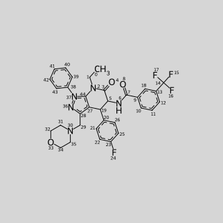 CCN1C(=O)C(NC(=O)c2cccc(C(F)(F)F)c2)C(c2ccc(F)cc2)c2c(CN3CCOCC3)nn(-c3ccccc3)c21